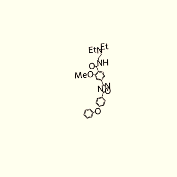 CCN(CC)CCNC(=O)c1ccc(-c2noc(-c3ccc(Oc4ccccc4)cc3)n2)cc1OC